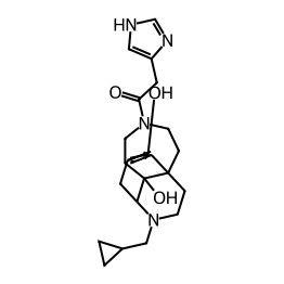 O=C(Cc1c[nH]cn1)N1CCC23CCN(CC4CC4)C(Cc4ccc(O)cc42)C3(O)CC1